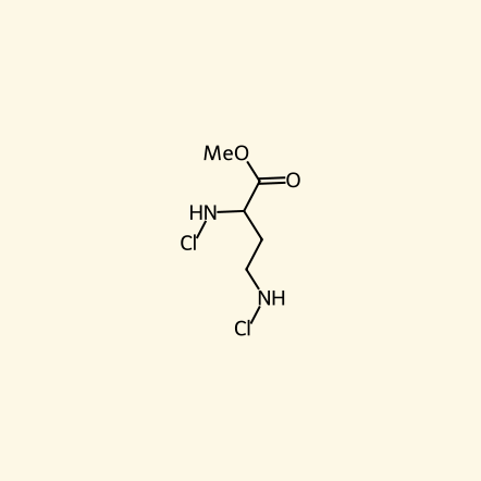 COC(=O)C(CCNCl)NCl